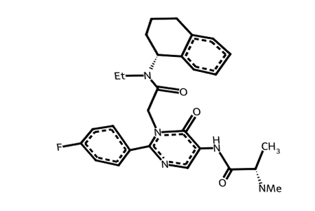 CCN(C(=O)Cn1c(-c2ccc(F)cc2)ncc(NC(=O)[C@H](C)NC)c1=O)[C@@H]1CCCc2ccccc21